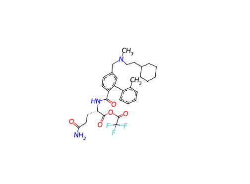 Cc1ccccc1-c1cc(CN(C)CCC2CCCCC2)ccc1C(=O)N[C@@H](CCC(N)=O)C(=O)OC(=O)C(F)(F)F